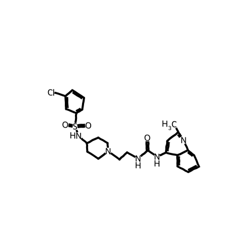 Cc1cc(NC(=O)NCCN2CCC(NS(=O)(=O)c3cccc(Cl)c3)CC2)c2ccccc2n1